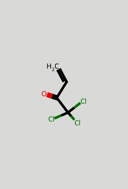 C=CC(=O)C(Cl)(Cl)Cl